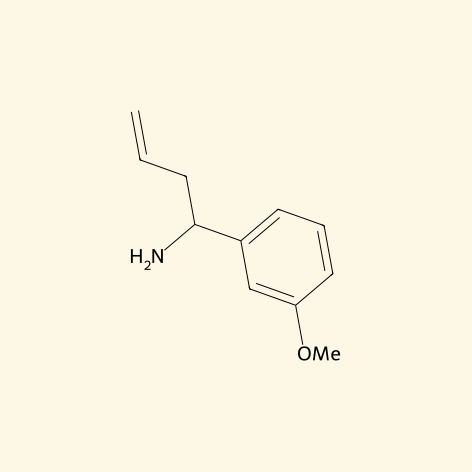 C=CCC(N)c1cccc(OC)c1